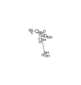 Cc1ncsc1-c1ccc(CNC(=O)[C@@H]2C[C@@H](O)CN2C(=O)C(NC(=O)CCCCCCNC(=O)O)C(C)(C)C)cc1